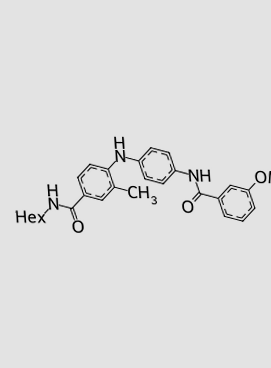 CCCCCCNC(=O)c1ccc(Nc2ccc(NC(=O)c3cccc(OC)c3)cc2)c(C)c1